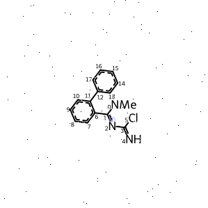 CN/C(=N\C(=N)Cl)c1ccccc1-c1ccccc1